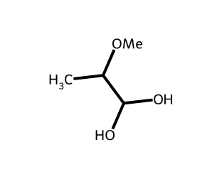 COC(C)C(O)O